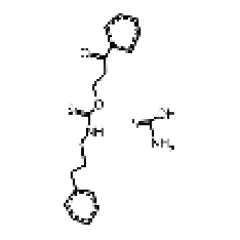 NC(O)=S.O=C(CCOC(=S)NCCCc1ccccc1)c1ccccc1